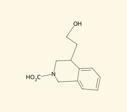 O=C(O)N1Cc2ccccc2C(CCO)C1